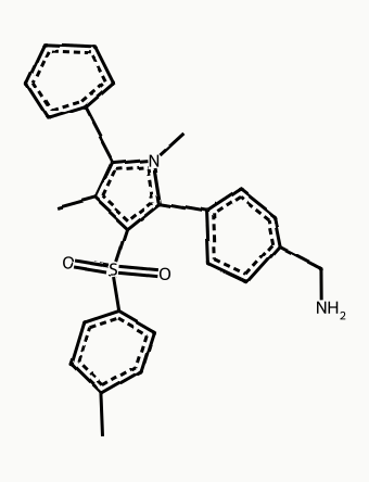 Cc1ccc(S(=O)(=O)c2c(C)c(-c3ccccc3)n(C)c2-c2ccc(CN)cc2)cc1